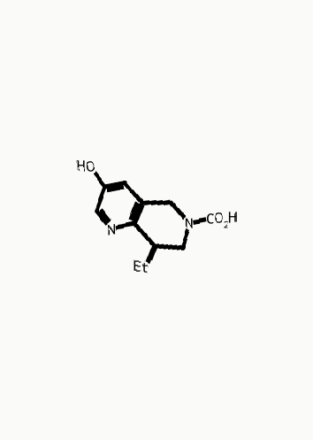 CCC1CN(C(=O)O)Cc2cc(O)cnc21